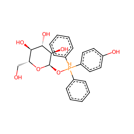 OC[C@H]1O[C@H](O[PH](c2ccccc2)(c2ccccc2)c2ccc(O)cc2)[C@H](O)[C@@H](O)[C@@H]1O